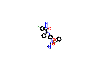 CN(C)CCN(c1ccc(N/C(=C2\C(=O)Nc3cc(F)ccc32)c2ccccc2)cc1)S(=O)(=O)Cc1ccccc1